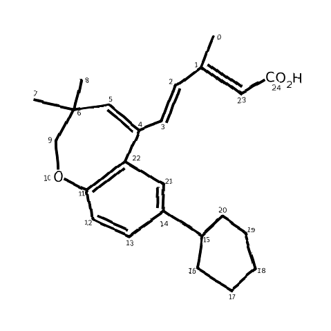 CC(C=CC1=CC(C)(C)COc2ccc(C3CCCCC3)cc21)=CC(=O)O